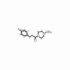 CC(C)(C)N1CCN(C(=O)CCc2ccc(F)cc2)CC1